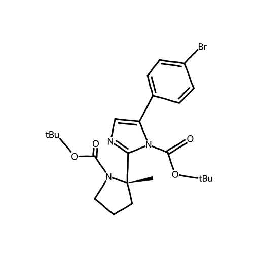 CC(C)(C)OC(=O)N1CCC[C@@]1(C)c1ncc(-c2ccc(Br)cc2)n1C(=O)OC(C)(C)C